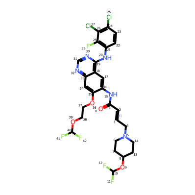 O=C(/C=C/CN1CCC(OC(F)F)CC1)Nc1cc2c(Nc3ccc(Cl)c(Cl)c3F)ncnc2cc1OCCOC(F)F